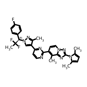 Cc1nn([C@H](c2ccc(F)cc2)C(C)(F)F)cc1-c1ccnc(-c2ccn3nc(-n4c(C)ccc4C)nc3c2C)n1